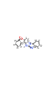 Cn1c2c3c(ccc2n2c4ccccc4nc12)oc1ccccc13